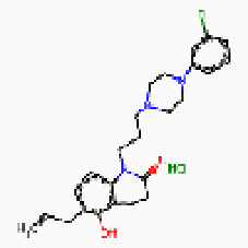 C=CCc1ccc2c(c1O)CCC(=O)N2CCCN1CCN(c2cccc(Cl)c2)CC1.Cl